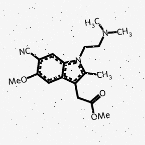 COC(=O)Cc1c(C)n(CCN(C)C)c2cc(C#N)c(OC)cc12